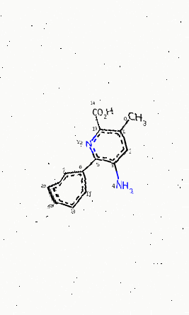 Cc1cc(N)c(-c2ccccc2)nc1C(=O)O